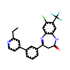 CCc1cc(-c2cccc(C3=Nc4cc(Cl)c(C(F)(F)F)cc4NC(=O)C3)c2)ccn1